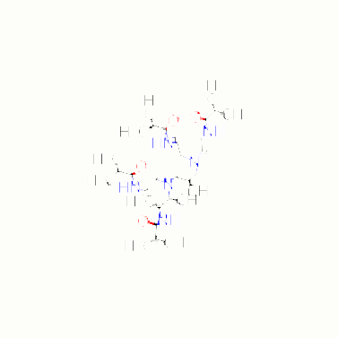 CC(CN(CCNC(=O)C(C)C)CCNC(=O)C(C)C)CN(CCNC(=O)C(C)C)C(C)C(C)NC(=O)C(C)C